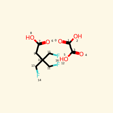 O=C(O)C(=O)O.O=C(O)CC(CF)(CF)CF